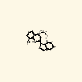 Oc1cccc2ccc(C3C=Cc4ccccc43)nc12.[Cl][Zr][Cl]